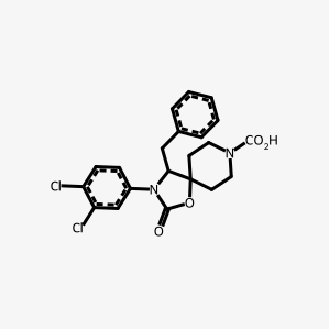 O=C(O)N1CCC2(CC1)OC(=O)N(c1ccc(Cl)c(Cl)c1)C2Cc1ccccc1